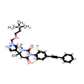 CCC1(c2cnn(COCC[Si](C)(C)C)c2)CC(=O)N(c2c(F)cc(C#Cc3ccccc3)cc2F)C(=O)N1C